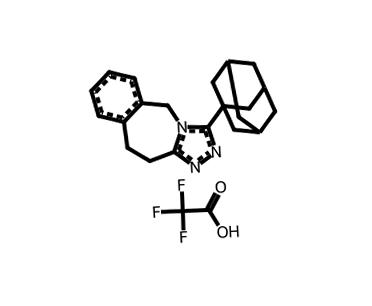 O=C(O)C(F)(F)F.c1ccc2c(c1)CCc1nnc(C34CC5CC(CC(C5)C3)C4)n1C2